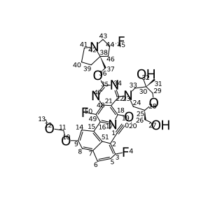 C#Cc1c(F)ccc2cc(OCOC)cc(-c3nc(OC)c4c(N5C[C@H](CO)OC[C@@](C)(O)C5)nc(OC[C@@]56CCCN5C[C@H](F)C6)nc4c3F)c12